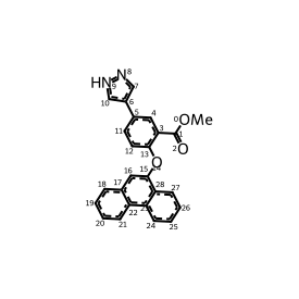 COC(=O)c1cc(-c2cn[nH]c2)ccc1Oc1cc2ccccc2c2ccccc12